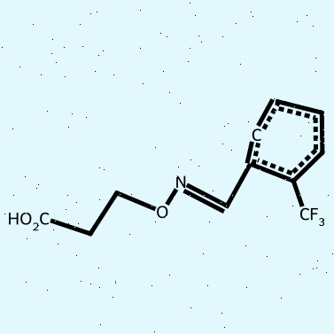 O=C(O)CCO/N=C/c1ccccc1C(F)(F)F